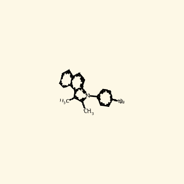 Cc1c(C)n(-c2ccc(C(C)(C)C)cc2)c2ccc3ccccc3c12